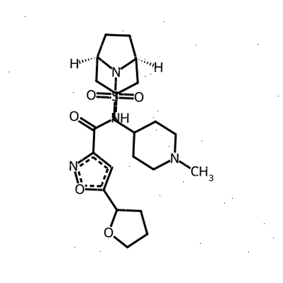 CN1CCC(CS(=O)(=O)N2[C@@H]3CC[C@H]2CC(NC(=O)c2cc(C4CCCO4)on2)C3)CC1